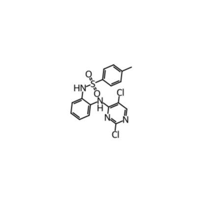 Cc1ccc(S(=O)(=O)Nc2ccccc2Nc2nc(Cl)ncc2Cl)cc1